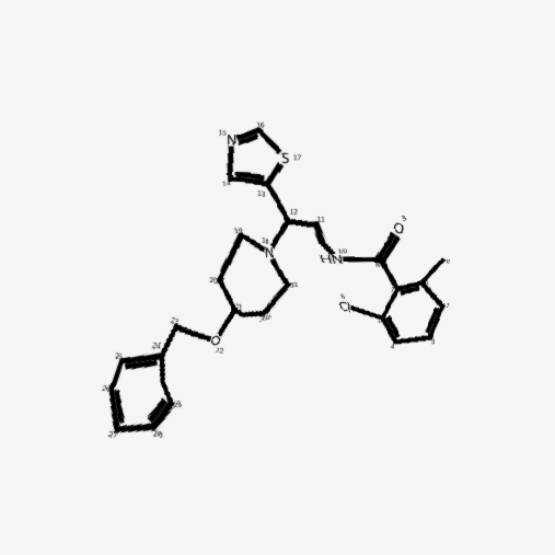 Cc1cccc(Cl)c1C(=O)NCC(c1cncs1)N1CCC(OCc2ccccc2)CC1